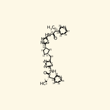 C#C[C@H](C(=O)Nc1nnc(C[C@H]2CC[C@@H](c3nnc(NC(=O)[C@H](C)c4cccnc4)s3)C2)s1)c1cccnc1